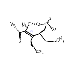 CC/C(=C(/C)C(=O)O)C(CC)P(=O)(O)O